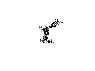 CN(CCC1CCN(C(=O)O)CC1)CC1(O)CCC(n2cc(N)c(C(F)F)n2)CC1